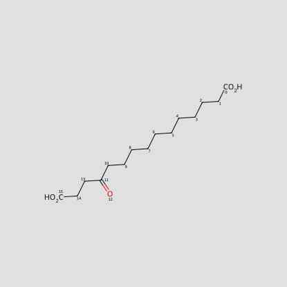 O=C(O)CCCCCCCCCCC(=O)CCC(=O)O